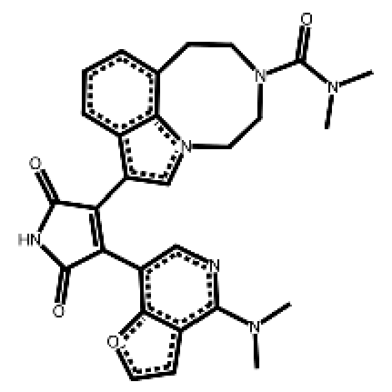 CN(C)C(=O)N1CCc2cccc3c(C4=C(c5cnc(N(C)C)c6ccoc56)C(=O)NC4=O)cn(c23)CC1